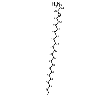 CCCCCCCCCCCCCCCCCCCCCCOCCN